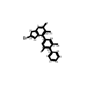 Cc1cc2c(c(-c3cc(C)c(-c4ccccc4)c(C)c3)c1C)C=C(Br)C2